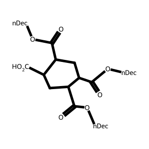 CCCCCCCCCCOC(=O)C1CC(C(=O)OCCCCCCCCCC)C(C(=O)OCCCCCCCCCC)CC1C(=O)O